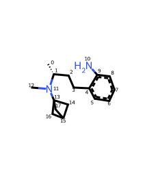 C[C@H](CCc1ccccc1N)N(C)C12CC(C1)C2